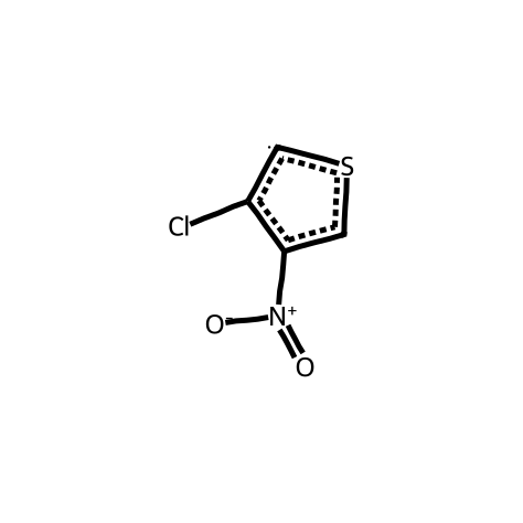 O=[N+]([O-])c1cs[c]c1Cl